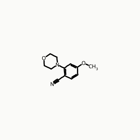 COc1ccc(C#N)c(N2CCOCC2)c1